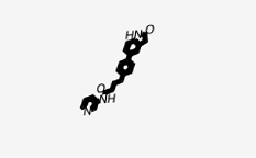 O=C(CCCc1ccc(C2=CC3CC(=O)NC3C=C2)cc1)Nc1cccnc1